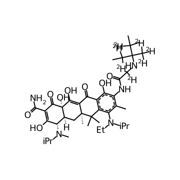 [2H]C([2H])(NC(C([2H])([2H])[2H])(C([2H])(C)C)C([2H])(C)C)C(=O)Nc1c(C)c(N(CC)C(C)C)c2c(c1O)C(=O)C1=C(O)[C@]3(O)C(=O)C(C(N)=O)=C(O)[C@@H](N(C)C(C)C)[C@@H]3C[C@]1(C)C2(C)C